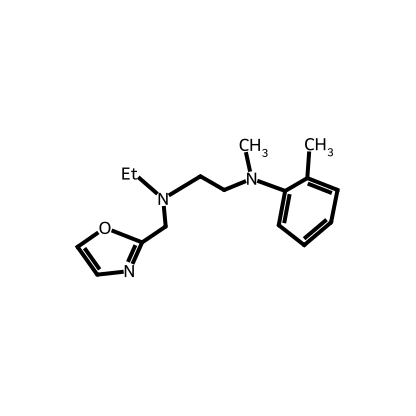 CCN(CCN(C)c1ccccc1C)Cc1ncco1